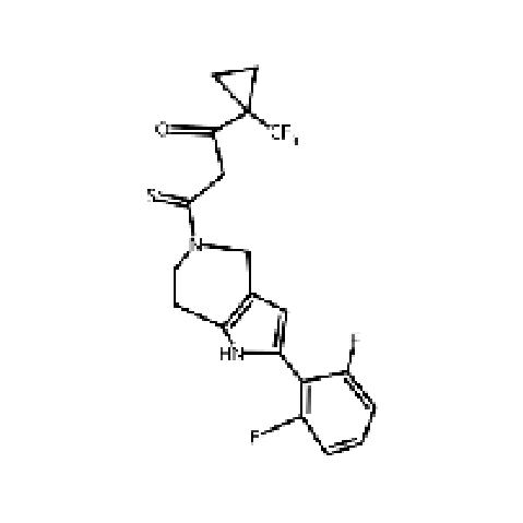 O=C(CC(=S)N1CCc2[nH]c(-c3c(F)cccc3F)cc2C1)C1(C(F)(F)F)CC1